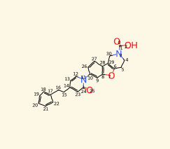 O=C(O)N1CCc2oc3cc(-n4ccc(CCc5ccccc5)cc4=O)ccc3c2C1